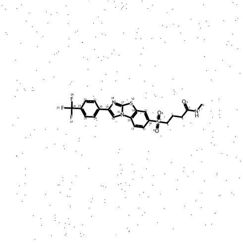 CNC(=O)CCCS(=O)(=O)c1ccc2c(c1)sc1nc(-c3ccc(C(F)(F)F)cc3)cn12